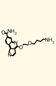 NCCCCOCCOc1nc2cc(C(N)=O)ccc2c2cnccc12